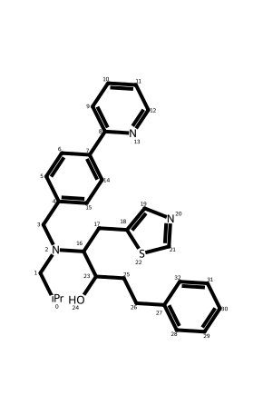 CC(C)CN(Cc1ccc(-c2ccccn2)cc1)C(Cc1cncs1)C(O)CCc1ccccc1